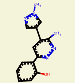 Nc1nnc(-c2ccccc2O)cc1-c1cnn(N)c1